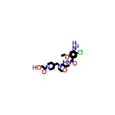 CCOc1cc(N)c(Cl)cc1C(=O)NCC1CN(CC2CCN(C(=O)CO)CC2)CCO1